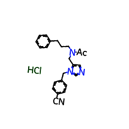 CC(=O)N(CCCc1ccccc1)Cc1cncn1Cc1ccc(C#N)cc1.Cl